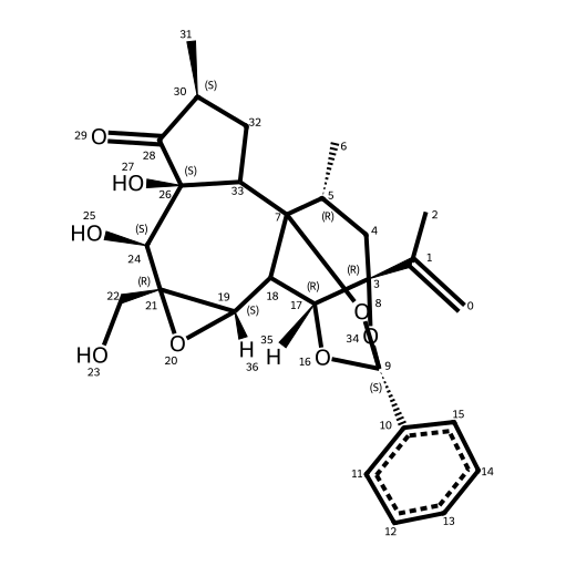 C=C(C)[C@]12C[C@@H](C)C34O[C@](c5ccccc5)(O[C@@H]1C3[C@@H]1O[C@]1(CO)[C@@H](O)[C@]1(O)C(=O)[C@@H](C)CC41)O2